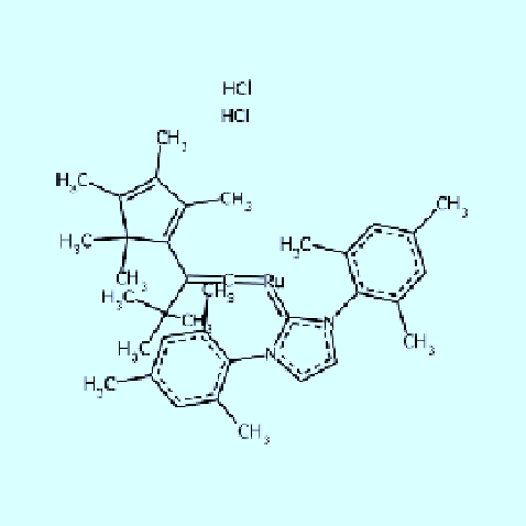 CC1=C(C)C(C)(C)C(C(=[C]=[Ru]=[c]2n(-c3c(C)cc(C)cc3C)ccn2-c2c(C)cc(C)cc2C)C(C)(C)C)=C1C.Cl.Cl